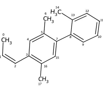 C/C=C\c1cc(C)c(-c2ccccc2C)cc1C